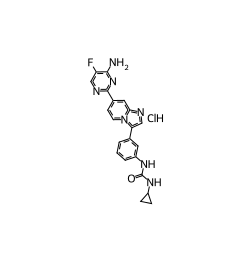 Cl.Nc1nc(-c2ccn3c(-c4cccc(NC(=O)NC5CC5)c4)cnc3c2)ncc1F